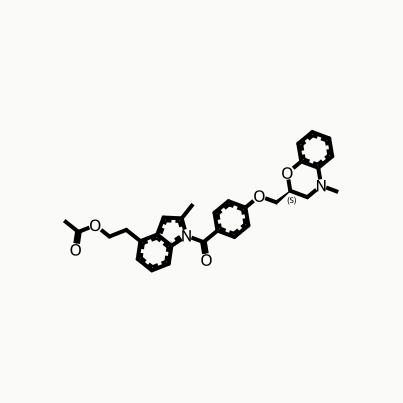 CC(=O)OCCc1cccc2c1cc(C)n2C(=O)c1ccc(OC[C@@H]2CN(C)c3ccccc3O2)cc1